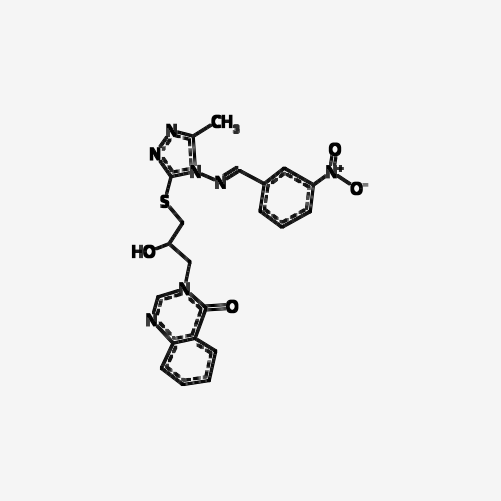 Cc1nnc(SCC(O)Cn2cnc3ccccc3c2=O)n1N=Cc1cccc([N+](=O)[O-])c1